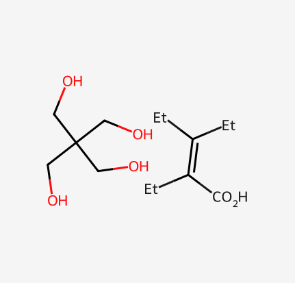 CCC(CC)=C(CC)C(=O)O.OCC(CO)(CO)CO